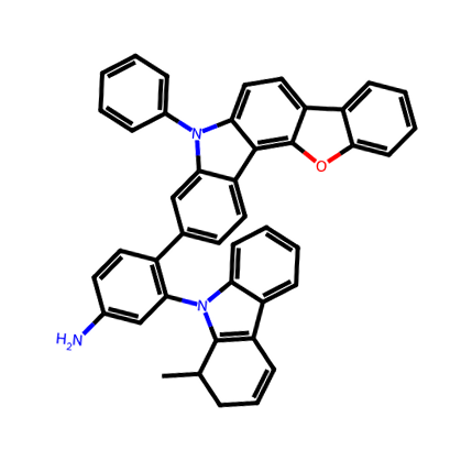 CC1CC=Cc2c1n(-c1cc(N)ccc1-c1ccc3c4c5oc6ccccc6c5ccc4n(-c4ccccc4)c3c1)c1ccccc21